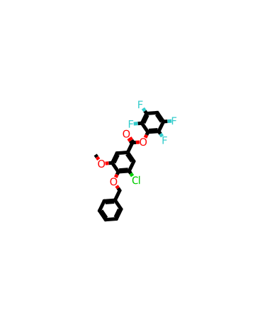 COc1cc(C(=O)Oc2c(F)c(F)cc(F)c2F)cc(Cl)c1OCc1ccccc1